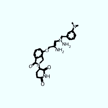 CN(C)c1cccc(CN(N)/C=C(\N)COc2cccc3c2CN(C2CCC(=O)NC2=O)C3=O)c1